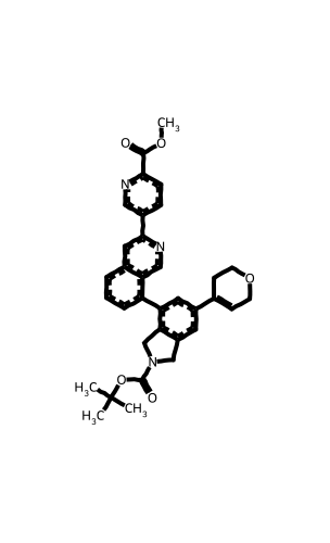 COC(=O)c1ccc(-c2cc3cccc(-c4cc(C5=CCOCC5)cc5c4CN(C(=O)OC(C)(C)C)C5)c3cn2)cn1